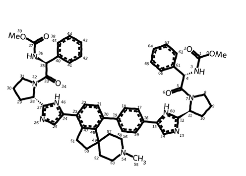 COC(=O)N[C@H](C(=O)N1CCC[C@H]1c1ncc(-c2ccc(-c3ccc(-c4cnc([C@@H]5CCCN5C(=O)[C@@H](NC(=O)OC)c5ccccc5)[nH]4)c4c3C3(CC4)CCN(C)CC3)cc2)[nH]1)c1ccccc1